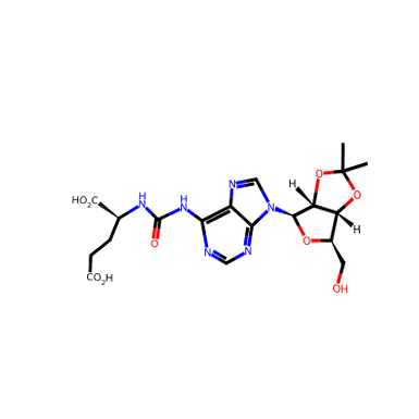 CC1(C)O[C@@H]2[C@H](O1)[C@@H](CO)O[C@H]2n1cnc2c(NC(=O)N[C@@H](CCC(=O)O)C(=O)O)ncnc21